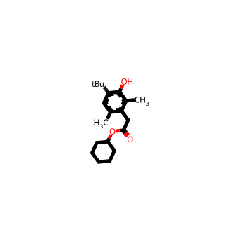 Cc1cc(C(C)(C)C)c(O)c(C)c1CC(=O)OC1CCCCC1